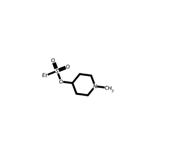 CCS(=O)(=O)OC1CCN(C)CC1